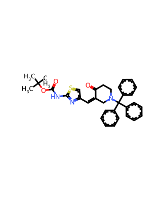 CC(C)(C)OC(=O)Nc1nc(/C=C2/CN(C(c3ccccc3)(c3ccccc3)c3ccccc3)CCC2=O)cs1